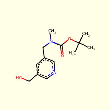 CN(Cc1cncc(CO)c1)C(=O)OC(C)(C)C